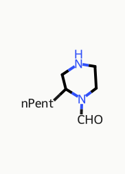 CCCCCC1CNCCN1C=O